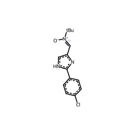 CC(C)(C)/[N+]([O-])=C/c1c[nH]c(-c2ccc(Cl)cc2)n1